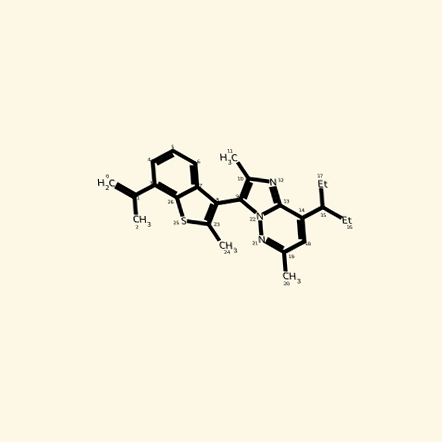 C=C(C)c1cccc2c(-c3c(C)nc4c(C(CC)CC)cc(C)nn34)c(C)sc12